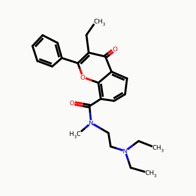 CCc1c(-c2ccccc2)oc2c(C(=O)N(C)CCN(CC)CC)cccc2c1=O